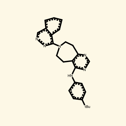 CC(C)(C)c1ccc(Nc2ncnc3c2CCN(c2nncc4ccccc24)CC3)cc1